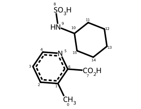 Cc1cccnc1C(=O)O.O=S(=O)(O)NC1CCCCC1